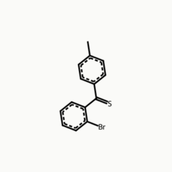 Cc1ccc(C(=S)c2ccccc2Br)cc1